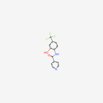 O=C(Nc1ccc(C(F)(F)F)cc1O)c1ccncc1